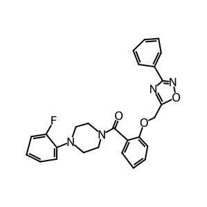 O=C(c1ccccc1OCc1nc(-c2ccccc2)no1)N1CCN(c2ccccc2F)CC1